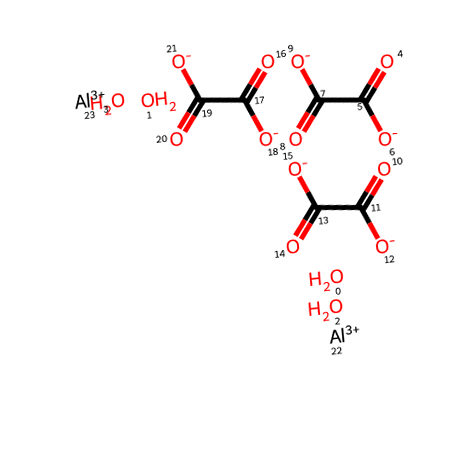 O.O.O.O.O=C([O-])C(=O)[O-].O=C([O-])C(=O)[O-].O=C([O-])C(=O)[O-].[Al+3].[Al+3]